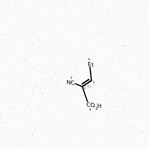 CC/C=C(\C#N)C(=O)O